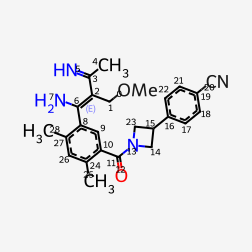 COC/C(C(C)=N)=C(/N)c1cc(C(=O)N2CC(c3ccc(C#N)cc3)C2)c(C)cc1C